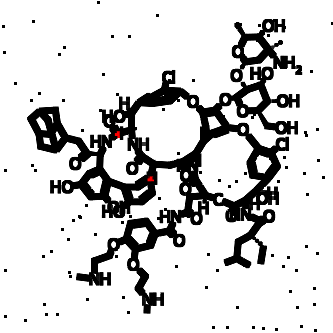 CC[C@H](CC(C)C)C(=O)N[C@H]1C(=O)C[C@@H](CC(=O)NC(=O)c2ccc(OCCNC)c(OCCNC)c2)C(=O)N[C@H]2C(=O)C[C@H]3C(=O)N[C@H](C(=O)N[C@H](C(=O)CC4C5CC6CC(C5)CC4C6)c4cc(O)cc(O)c4-c4cc3ccc4O)[C@H](O)c3ccc(c(Cl)c3)Oc3cc2cc(c3O[C@@H]2O[C@H](CO)[C@@H](O)[C@H](O)[C@H]2O[C@H]2C[C@](C)(N)[C@H](O)[C@H](C)O2)Oc2ccc(cc2Cl)[C@H]1O